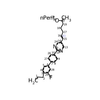 C=CCc1ccc(-c2ccc(-c3ncc(/C=C/CCCC(C)OCCCCC)cn3)cc2)cc1F